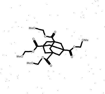 COCOC(=O)C12CC3(C(=O)OCOC)CC(C(=O)OCOC)(C1)CC(C(=O)OCOC)(C2)C3